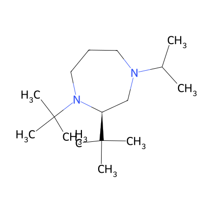 CC(C)N1CCCN(C(C)(C)C)[C@H](C(C)(C)C)C1